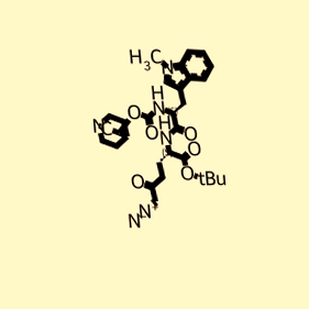 Cn1cc(C[C@H](NC(=O)OC2CN3CCC2CC3)C(=O)N[C@@H](CCC(=O)C=[N+]=[N-])C(=O)OC(C)(C)C)c2ccccc21